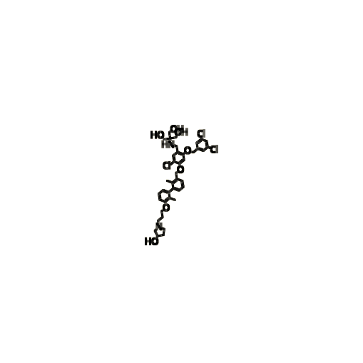 Cc1c(COc2cc(OCc3cc(Cl)cc(Cl)c3)c(CNC(CO)(CO)CO)cc2Cl)cccc1-c1cccc(OCCCN2CCC(O)C2)c1C